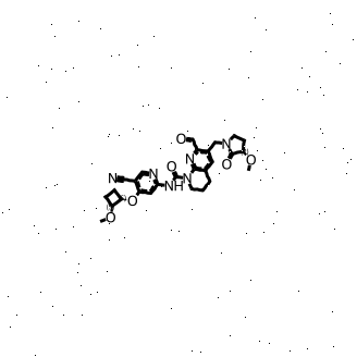 CO[C@H]1CC[C@@H]1Oc1cc(NC(=O)N2CCCc3cc(CN4CC[C@@H](OC)C4=O)c(C=O)nc32)ncc1C#N